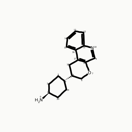 N[C@H]1CC[C@H](C2COc3cnc4ccccc4c3C2)CC1